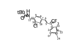 Cc1cc(C(/C=C/c2ccc(CNC(=O)C(C)(C)C)c(Cl)c2)C(F)(F)F)cc(C)c1C